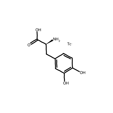 N[C@@H](Cc1ccc(O)c(O)c1)C(=O)O.[Tc]